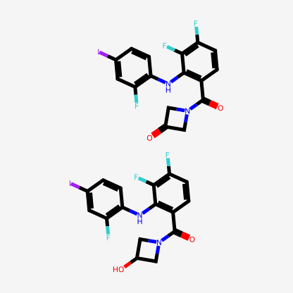 O=C(c1ccc(F)c(F)c1Nc1ccc(I)cc1F)N1CC(O)C1.O=C1CN(C(=O)c2ccc(F)c(F)c2Nc2ccc(I)cc2F)C1